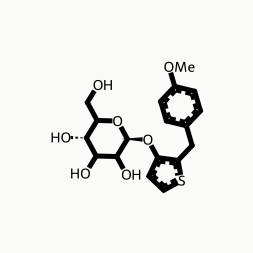 COc1ccc(Cc2sccc2O[C@@H]2OC(CO)[C@@H](O)C(O)C2O)cc1